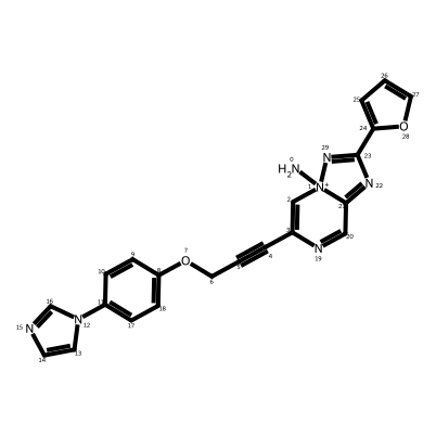 N[N+]12C=C(C#CCOc3ccc(-n4ccnc4)cc3)N=CC1=NC(c1ccco1)=N2